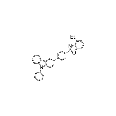 CCc1cccc2oc(-c3ccc(-c4ccc5c(c4)c4ccccc4n5-c4ccccc4)cc3)nc12